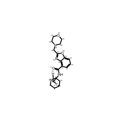 O=C(N[C@@H]1CC2CCN1CC2)c1cccc2oc(CN3CCOCC3)nc12